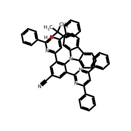 CC(C)(C)c1ccc2c3ccccc3n(-c3c(-c4cc(-c5ccccc5)nc(-c5ccccc5)n4)cc(C#N)cc3-c3nc(-c4ccccc4)cc(-c4ccccc4)n3)c2c1